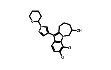 OC1CCCc2c(-c3cnn(C4CCCCO4)c3)c3ccc(Cl)c(Cl)c3n2C1